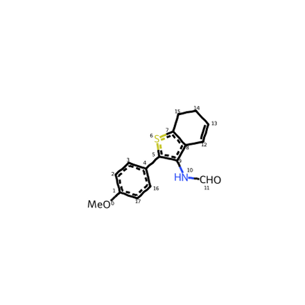 COc1ccc(-c2sc3c(c2NC=O)C=CCC3)cc1